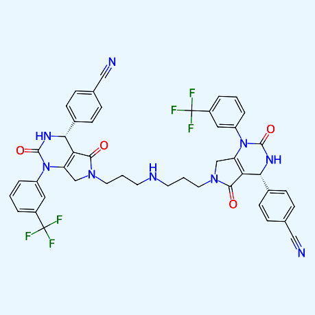 N#Cc1ccc([C@H]2NC(=O)N(c3cccc(C(F)(F)F)c3)C3=C2C(=O)N(CCCNCCCN2CC4=C(C2=O)[C@@H](c2ccc(C#N)cc2)NC(=O)N4c2cccc(C(F)(F)F)c2)C3)cc1